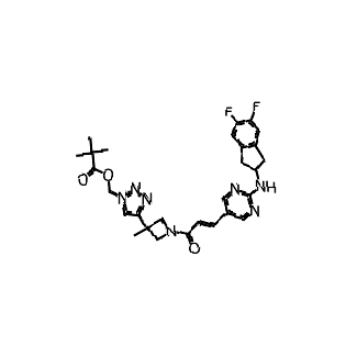 CC(C)(C)C(=O)OCn1cc(C2(C)CN(C(=O)C=Cc3cnc(NC4Cc5cc(F)c(F)cc5C4)nc3)C2)nn1